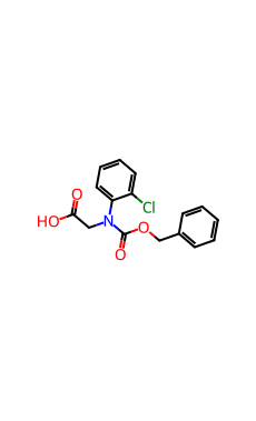 O=C(O)CN(C(=O)OCc1ccccc1)c1ccccc1Cl